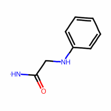 [NH]C(=O)CNc1ccccc1